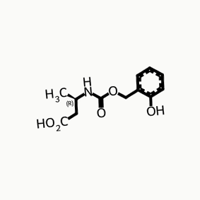 C[C@H](CC(=O)O)NC(=O)OCc1ccccc1O